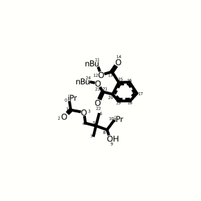 CC(C)C(=O)OCC(C)(C)C(O)C(C)C.CCCCOC(=O)c1ccccc1C(=O)OCCCC